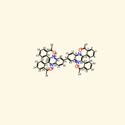 CC(=O)c1ccccc1-c1nc2ccc(-c3ccc4nc(-c5ccccc5C(C)=O)c(-c5ccccc5C(C)=O)nc4c3)cc2nc1-c1ccccc1C(C)=O